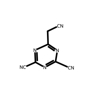 N#CCc1nc(C#N)nc(C#N)n1